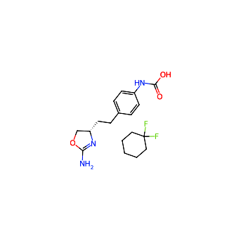 FC1(F)CCCCC1.NC1=N[C@@H](CCc2ccc(NC(=O)O)cc2)CO1